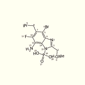 COCc1nc2c(Br)c(CC(C)C)c(F)c(N)c2n1P(=O)(O)O